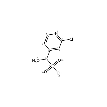 CC(c1ccnc(Cl)c1)S(=O)(=O)O